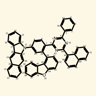 c1ccc(-c2nc(-c3ccc(-n4c5ccccc5c5cc6ccccc6cc54)cc3-c3cccc4oc5ccccc5c34)nc(-c3cccc4ccccc34)n2)cc1